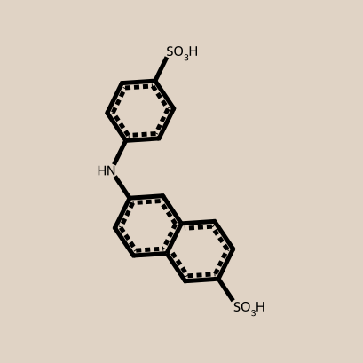 O=S(=O)(O)c1ccc(Nc2ccc3cc(S(=O)(=O)O)ccc3c2)cc1